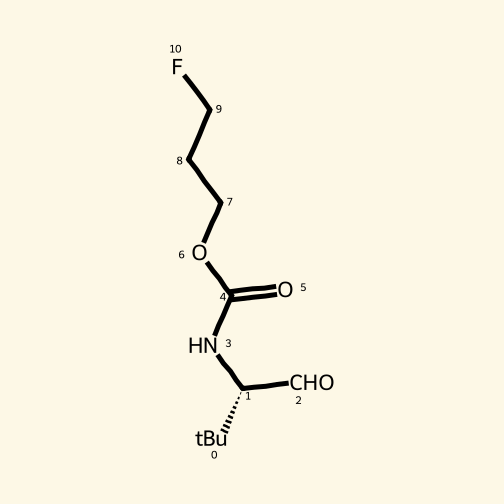 CC(C)(C)[C@@H](C=O)NC(=O)OCCCF